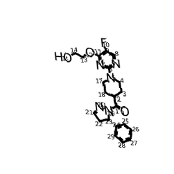 O=C(C1CCN(c2ncc(F)c(OCCO)n2)CC1)N1N=CC[C@H]1c1ccccc1